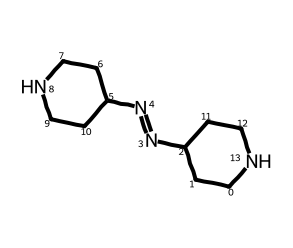 C1CC(N=NC2CCNCC2)CCN1